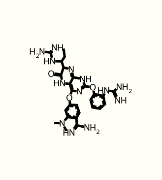 CCC(NC(=N)N)C1N=C2NC(Oc3ccccc3NC(=N)N)=NC(Oc3ccc(C(=N)N)c(N(C)C)c3)=C2NC1=O